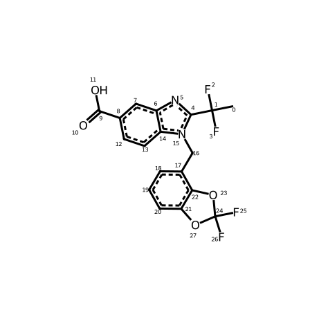 CC(F)(F)c1nc2cc(C(=O)O)ccc2n1Cc1cccc2c1OC(F)(F)O2